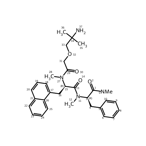 CNC(=O)[C@@H](Cc1ccccc1)N(C)C(=O)[C@@H](Cc1cccc2ccccc12)N(C)C(=O)COCC(C)(C)N